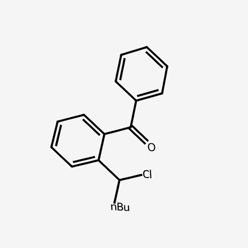 CCCCC(Cl)c1ccccc1C(=O)c1ccccc1